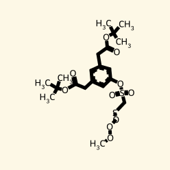 COOOSCS(=O)(=O)Oc1cc(CC(=O)OC(C)(C)C)cc(CC(=O)OC(C)(C)C)c1